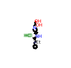 CC/C(=C\c1ccccc1)[C@@H]1C[C@H]1NC1CC2(CCN(C[C@H](O)CO)CC2)C1.Cl.Cl